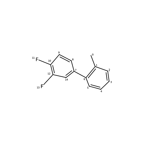 Cc1[c]cccc1-c1ccc(F)c(F)c1